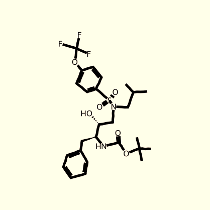 CC(C)CN(C[C@@H](O)[C@H](Cc1ccccc1)NC(=O)OC(C)(C)C)S(=O)(=O)c1ccc(OC(F)(F)F)cc1